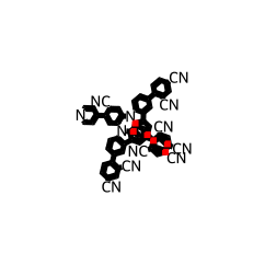 N#Cc1ccc(-c2ccc3c(c2)c2cc(-c4ccc(C#N)cc4C#N)ccc2n3-c2cc(C#N)c(-c3ccncc3)cc2-n2c3ccc(-c4ccc(C#N)cc4C#N)cc3c3cc(-c4ccc(C#N)cc4C#N)ccc32)c(C#N)c1